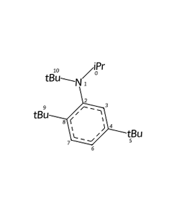 CC(C)N(c1cc(C(C)(C)C)ccc1C(C)(C)C)C(C)(C)C